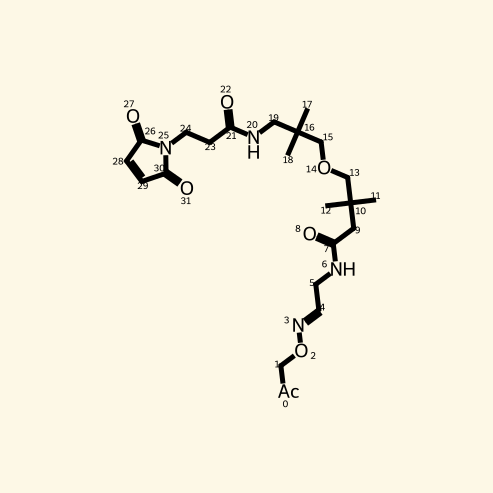 CC(=O)CON=CCNC(=O)CC(C)(C)COCC(C)(C)CNC(=O)CCN1C(=O)C=CC1=O